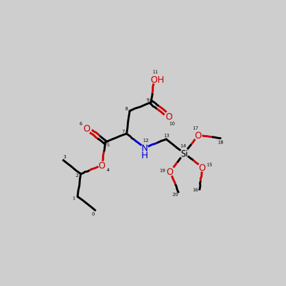 CCC(C)OC(=O)C(CC(=O)O)NC[Si](OC)(OC)OC